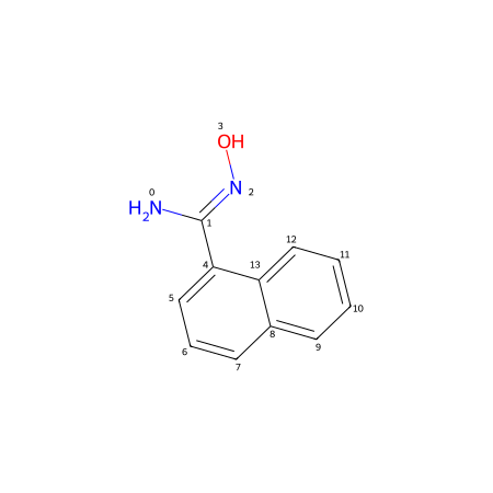 NC(=NO)c1cccc2ccccc12